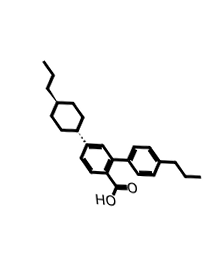 CCCc1ccc(-c2cc([C@H]3CC[C@H](CCC)CC3)ccc2C(=O)O)cc1